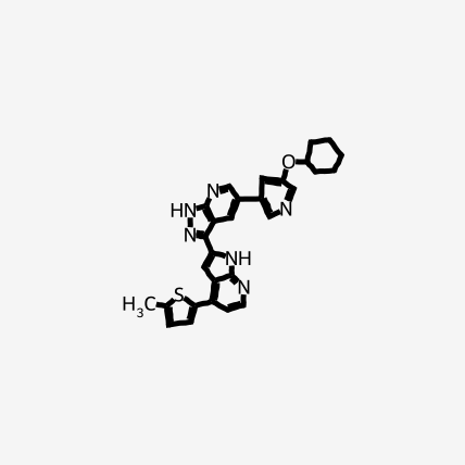 Cc1ccc(-c2ccnc3[nH]c(-c4n[nH]c5ncc(-c6cncc(OC7CCCCC7)c6)cc45)cc23)s1